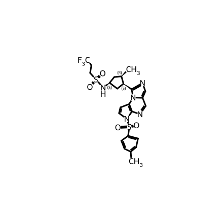 Cc1ccc(S(=O)(=O)n2ccc3c2ncc2cnc([C@H]4C[C@@H](NS(=O)(=O)CCC(F)(F)F)C[C@H]4C)n23)cc1